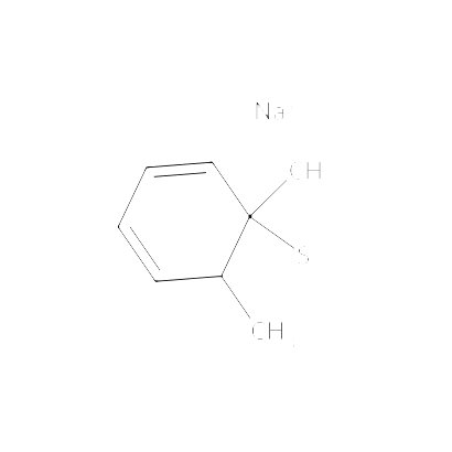 CC1C=CC=CC1(C)[S-].[Na+]